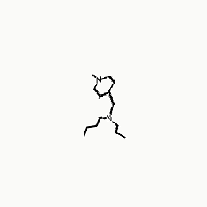 CCCCN(CCC)CC1CCN(C)CC1